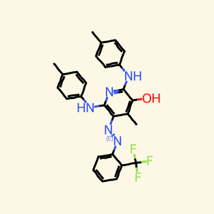 Cc1ccc(Nc2nc(Nc3ccc(C)cc3)c(/N=N/c3ccccc3C(F)(F)F)c(C)c2O)cc1